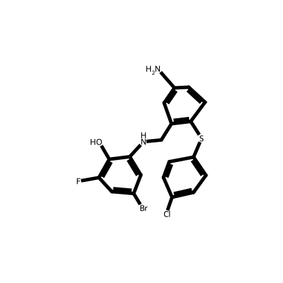 Nc1ccc(Sc2ccc(Cl)cc2)c(CNc2cc(Br)cc(F)c2O)c1